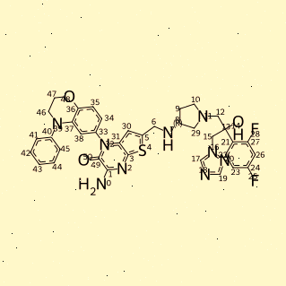 Nc1nc2sc(CN[C@@H]3CCN(CC(O)(Cn4cncn4)c4ccc(F)cc4F)C3)cc2n(-c2ccc3c(c2)N(c2ccccc2)CCO3)c1=O